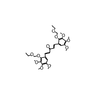 CCOCOc1c(C=CC(=O)C=Cc2cc(OC)c(OC)c(OC)c2OCOCC)cc(OC)c(OC)c1OC